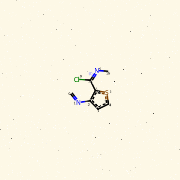 C=Nc1ccsc1/C(Cl)=N\C